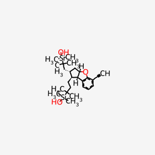 C#Cc1cccc2c1O[C@H]1C[C@@H](CC(C)(C)[Si](C)(C)O)[C@H](CCC(C)(C)[Si](C)(C)O)[C@@H]21